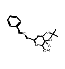 CC1(C)OC2CC(COCc3ccccc3)OC(O)[C@H]2O1